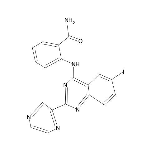 NC(=O)c1ccccc1Nc1nc(-c2cnccn2)nc2ccc(I)cc12